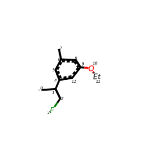 [CH2]C(CF)c1cc(C)cc(OCC)c1